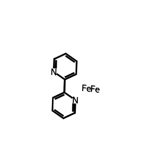 [Fe].[Fe].c1ccc(-c2ccccn2)nc1